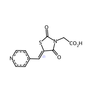 O=C(O)CN1C(=O)S/C(=C\c2ccncc2)C1=O